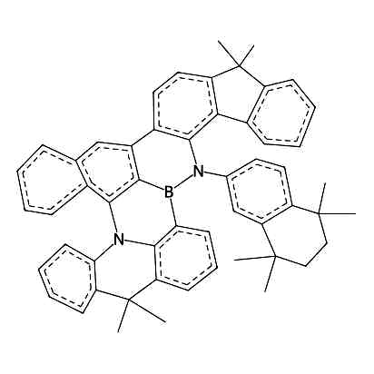 CC1(C)CCC(C)(C)c2cc(N3B4c5cccc6c5N(c5ccccc5C6(C)C)c5c4c(cc4ccccc54)-c4ccc5c(c43)-c3ccccc3C5(C)C)ccc21